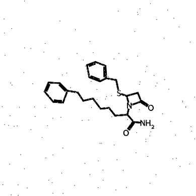 NC(=O)C(CCCCCCc1ccccc1)N1C(=O)CC1SCc1ccccc1